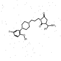 CC(C)Oc1ccc(F)cc1N1CCN(CCCN2C(=O)CC(C(N)C(C)C)C2=O)CC1